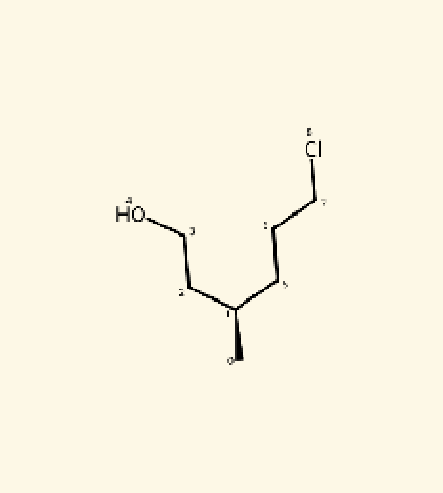 C[C@@H](CCO)CCCCl